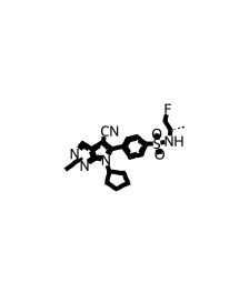 Cc1ncc2c(C#N)c(-c3ccc(S(=O)(=O)N[C@@H](C)CF)cc3)n(C3CCCC3)c2n1